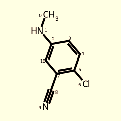 CNc1ccc(Cl)c(C#N)c1